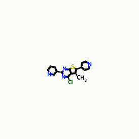 Cc1c(-c2ccncc2)sc2nc(-c3cccnc3)nc(Cl)c12